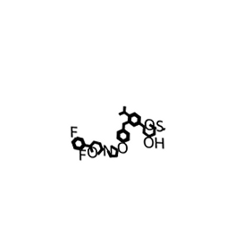 CSC1CC(O)CC(c2ccc(C(C)C)c(Cc3ccc(OC4CCN(C5CCC(c6cc(F)ccc6F)OC5)C4)cc3)c2)O1